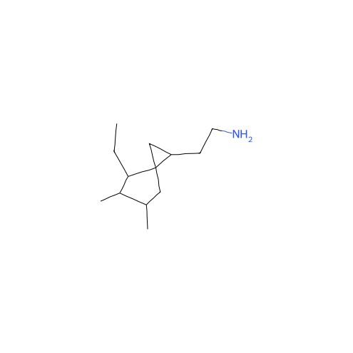 CCC1C(C)C(C)CC12CC2CCN